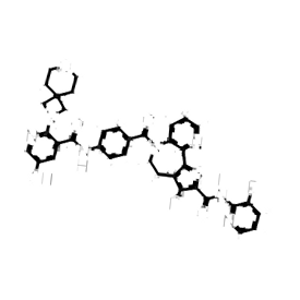 Cc1cnc(N2CC3(CCOCC3)C2)c(C(=O)Nc2ccc(C(=O)N3CCc4c(sc(C(=O)Nc5ncccc5F)c4F)-c4ncccc43)cc2)c1